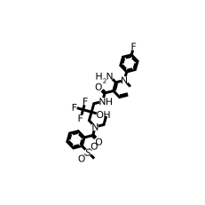 C=C/C(C(=O)NCC(O)(CN(CC)C(=O)c1ccccc1S(C)(=O)=O)C(F)(F)F)=C(/N)N(C)c1ccc(F)cc1